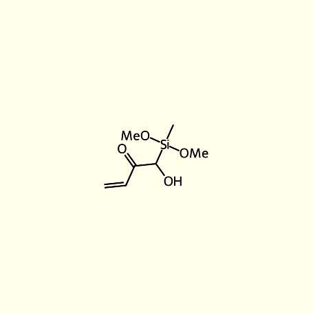 C=CC(=O)C(O)[Si](C)(OC)OC